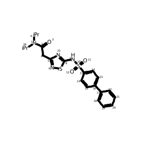 CC(C)N(C(=O)Cc1nsc(NS(=O)(=O)c2ccc(-c3ccccc3)cc2)n1)C(C)C